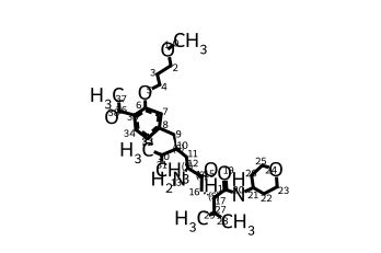 COCCCOc1cc(C[C@@H](C[C@H](N)[C@@H](O)C[C@H](C(=O)NC2CCOCC2)C(C)C)C(C)C)ccc1C(C)=O